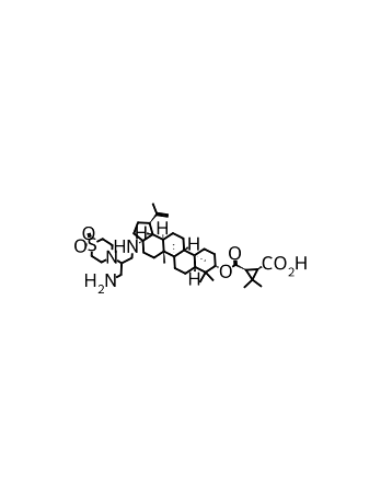 C=C(C)[C@@H]1CC[C@]2(NCC(CN)N3CCS(=O)(=O)CC3)CC[C@]3(C)[C@H](CC[C@@H]4[C@@]5(C)CC[C@H](OC(=O)[C@H]6[C@@H](C(=O)O)C6(C)C)C(C)(C)[C@@H]5CC[C@]43C)[C@@H]12